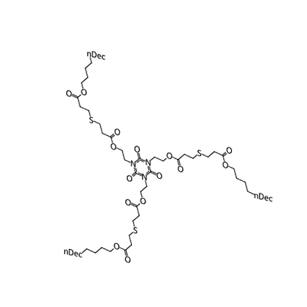 CCCCCCCCCCCCCCOC(=O)CCSCCC(=O)OCCn1c(=O)n(CCOC(=O)CCSCCC(=O)OCCCCCCCCCCCCCC)c(=O)n(CCOC(=O)CCSCCC(=O)OCCCCCCCCCCCCCC)c1=O